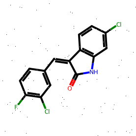 O=C1Nc2cc(Cl)ccc2C1=Cc1ccc(F)c(Cl)c1